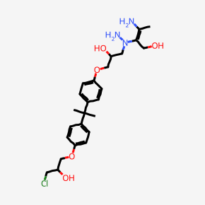 C/C(N)=C(\CO)N(N)CC(O)COc1ccc(C(C)(C)c2ccc(OCC(O)CCl)cc2)cc1